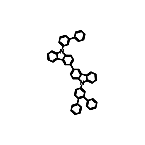 c1ccc(-c2cccc(-n3c4ccccc4c4cc(-c5ccc6c(c5)c5ccccc5n6-c5ccc(-c6ccccc6)c(-c6ccccc6)c5)ccc43)c2)cc1